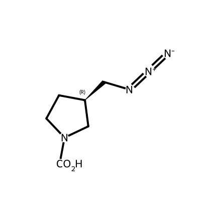 [N-]=[N+]=NC[C@@H]1CCN(C(=O)O)C1